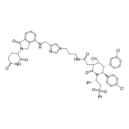 CC(C)[C@@H](CS(=O)(=O)C(C)C)N1C(=O)[C@@](C)(CC(=O)NCCCn2cnc(CNc3cccc4c3CN(C3CCC(=O)NC3=O)C4=O)c2)C[C@H](c2cccc(Cl)c2)[C@H]1c1ccc(Cl)cc1